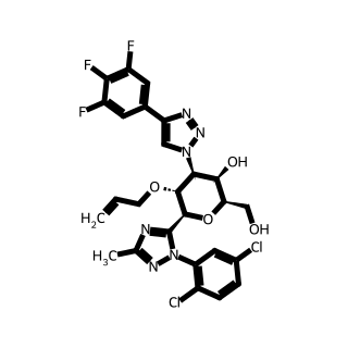 C=CCO[C@@H]1[C@@H](n2cc(-c3cc(F)c(F)c(F)c3)nn2)[C@@H](O)[C@@H](CO)O[C@H]1c1nc(C)nn1-c1cc(Cl)ccc1Cl